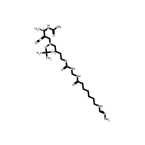 C[C@@H](NC(=O)O)C(=C=O)CN(CCCCOC(=O)NCNC(=O)CCCCCCNC=NN)OC(C)(C)C